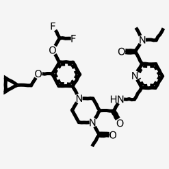 CCN(C)C(=O)c1cccc(CNC(=O)C2CN(c3ccc(OC(F)F)c(OCC4CC4)c3)CCN2C(C)=O)n1